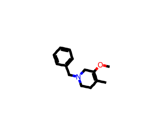 COC1=C(C)CCN(Cc2ccccc2)C1